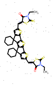 CCN1C(=O)/C(=C/c2cc3c(s2)-c2sc4c(c2C32CCCCC2)C2(CCCCC2)c2cc(/C=C3\SC(=S)N(CC)C3=O)sc2-4)SC1=S